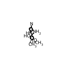 CCOc1cc(O)c(C(CN)Nc2ccc(C#N)cc2)cc1OCC